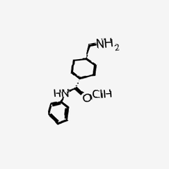 Cl.NC[C@H]1CC[C@H](C(=O)Nc2ccccc2)CC1